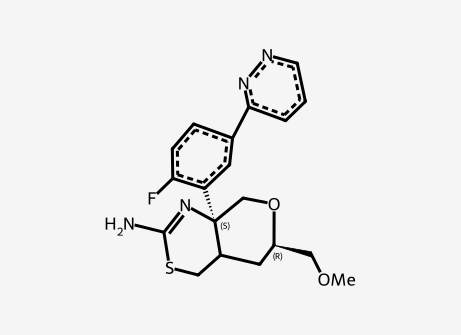 COC[C@H]1CC2CSC(N)=N[C@@]2(c2cc(-c3cccnn3)ccc2F)CO1